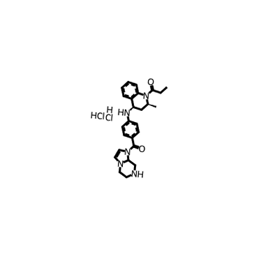 CCC(=O)N1c2ccccc2[C@H](Nc2ccc(C(=O)N3C=CN4CCNCC43)cc2)C[C@@H]1C.Cl.Cl